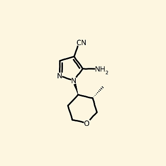 C[C@@H]1COCC[C@H]1n1ncc(C#N)c1N